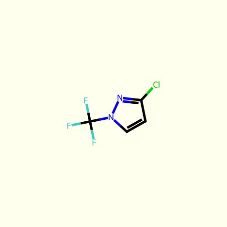 FC(F)(F)n1ccc(Cl)n1